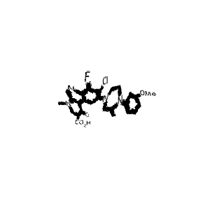 COc1cccc(N2CCN(c3cc4c(ncc5c4c(=O)c(C(=O)O)cn5C)c(F)c3Cl)CC2C)c1